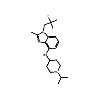 CC(C)N1CCC(Nc2cccc3c2cc(I)n3CC(F)(F)F)CC1